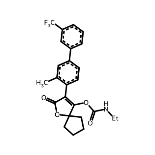 CCNC(=O)OC1=C(c2ccc(-c3cccc(C(F)(F)F)c3)cc2C)C(=O)OC12CCCC2